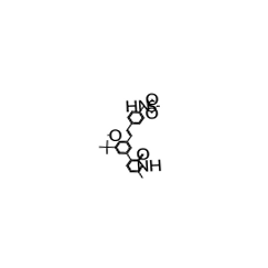 COc1c(/C=C/c2ccc(NS(C)(=O)=O)cc2)cc(-c2ccc(C)[nH]c2=O)cc1C(C)(C)C